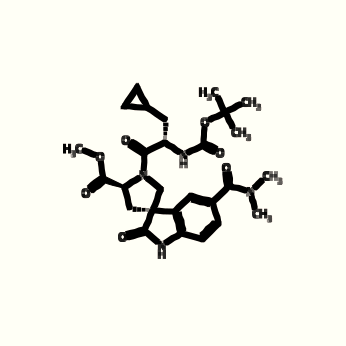 COC(=O)[C@@H]1C[C@@]2(CN1C(=O)[C@H](CC1CC1)NC(=O)OC(C)(C)C)C(=O)Nc1ccc(C(=O)N(C)C)cc12